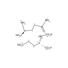 NC(=O)CC[C@H](N)C(=O)O.O=C(O)CC[C@H](NC(=O)O)C(=O)O